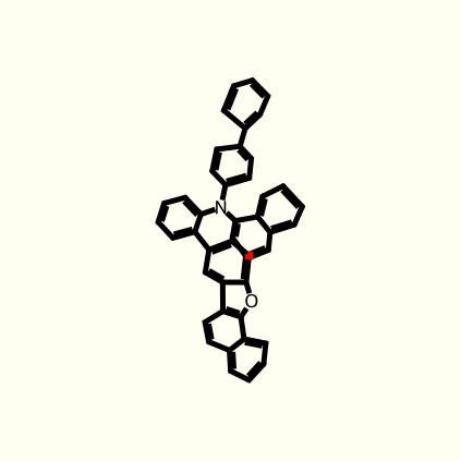 c1ccc(-c2ccc(N(c3ccccc3-c3ccc4oc5c6ccccc6ccc5c4c3)c3cccc4ccccc34)cc2)cc1